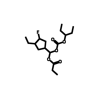 CCC(=O)OC(OC(=O)OC(CC)CC)C1CC(F)C(CC)C1